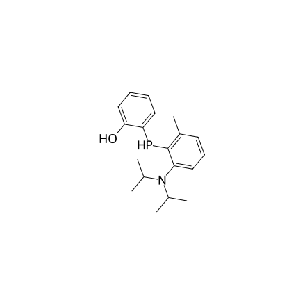 Cc1cccc(N(C(C)C)C(C)C)c1Pc1ccccc1O